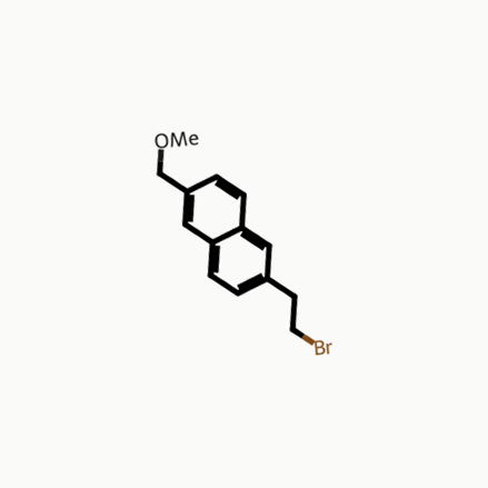 COCc1ccc2cc(CCBr)ccc2c1